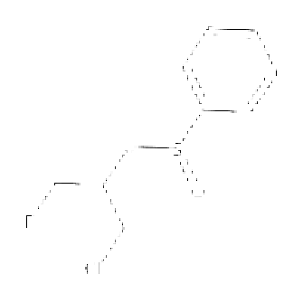 O=S(OC(CF)CCl)c1ccccc1